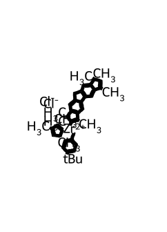 CC1=CC(C)[C]([Zr+2](=[CH]c2ccc(C(C)(C)C)cc2)[C]2=C(C)c3cc4c(cc3C2(C)C)Cc2cc3c(cc2-4)C(C)=CC3(C)C)=C1C.[Cl-].[Cl-]